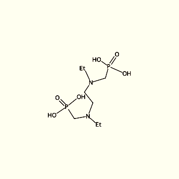 CCN(CCN(CC)CP(=O)(O)O)CP(=O)(O)O